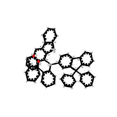 c1ccc(-c2ccccc2N(c2ccc3c(c2)C(c2ccccc2)(c2ccccc2)c2ccccc2-3)c2c3oc4ccccc4c3cc3oc4ccccc4c23)cc1